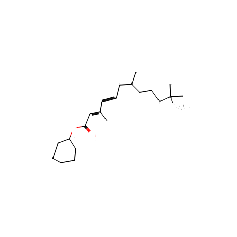 COC(C)(C)CCCC(C)C/C=C/C(C)=C/C(=O)OC1CCCCC1